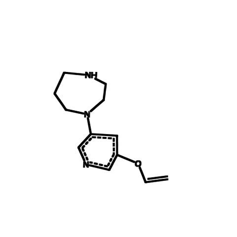 C=COc1cncc(N2CCCNCC2)c1